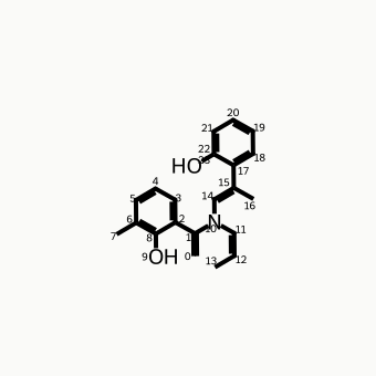 C=C(c1cccc(C)c1O)N(/C=C\C)/C=C(\C)c1ccccc1O